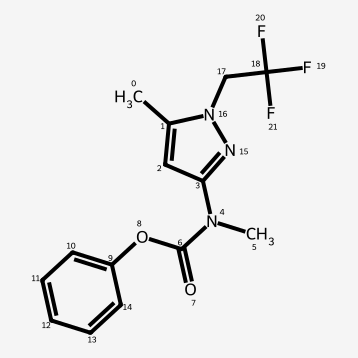 Cc1cc(N(C)C(=O)Oc2ccccc2)nn1CC(F)(F)F